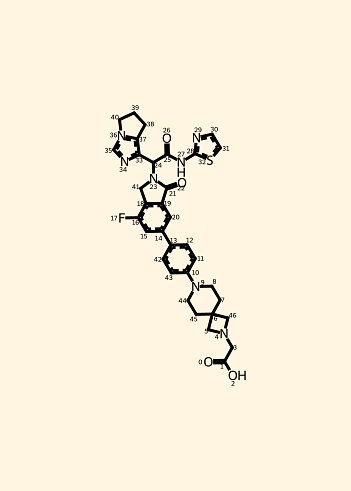 O=C(O)CN1CC2(CCN(c3ccc(-c4cc(F)c5c(c4)C(=O)N(C(C(=O)Nc4nccs4)c4ncn6c4CCC6)C5)cc3)CC2)C1